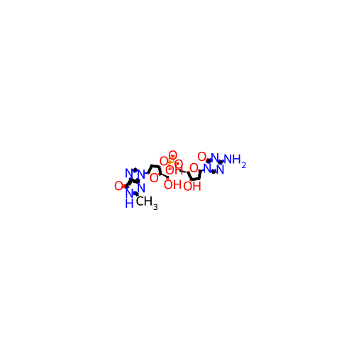 Cc1nc2c(ncn2[C@H]2CC(OP(=O)(O)OC[C@H]3O[C@@H](n4cnc(N)nc4=O)CC3O)[C@@H](CO)O2)c(=O)[nH]1